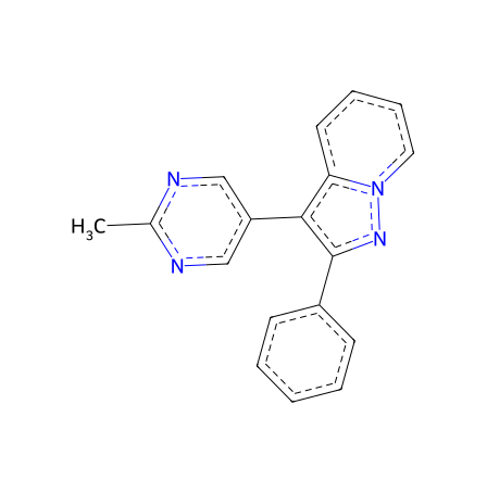 Cc1ncc(-c2c(-c3ccccc3)nn3ccccc23)cn1